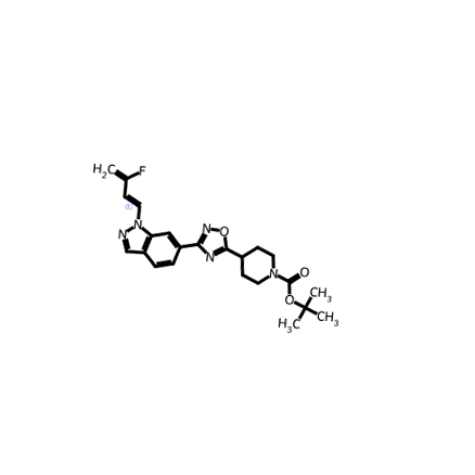 C=C(F)/C=C/n1ncc2ccc(-c3noc(C4CCN(C(=O)OC(C)(C)C)CC4)n3)cc21